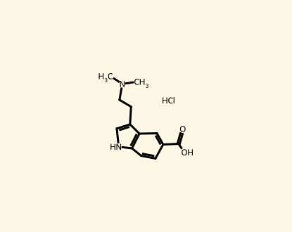 CN(C)CCc1c[nH]c2ccc(C(=O)O)cc12.Cl